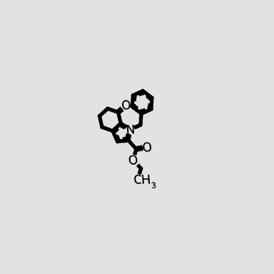 CCOC(=O)c1cc2c(n1Cc1ccccc1)C(=O)CCC2